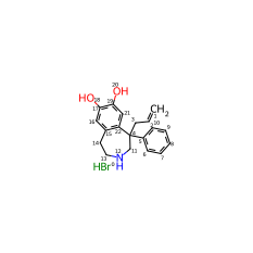 Br.C=CCC1(c2ccccc2)CNCCc2cc(O)c(O)cc21